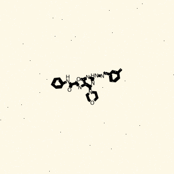 Cc1cccc(/C=N/Nc2nc(N3CCOCC3)c3nc(C(=O)Nc4ccccc4)oc3n2)c1